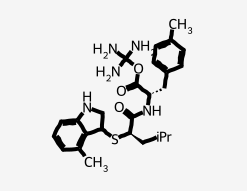 Cc1ccc(C[C@H](NC(=O)[C@@H](CC(C)C)SC2CNc3cccc(C)c32)C(=O)OC(N)(N)N)cc1